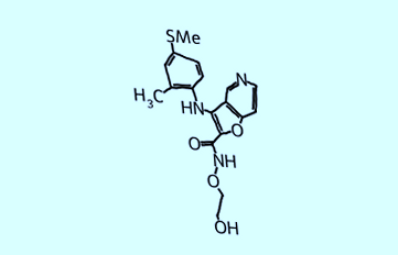 CSc1ccc(Nc2c(C(=O)NOCCO)oc3ccncc23)c(C)c1